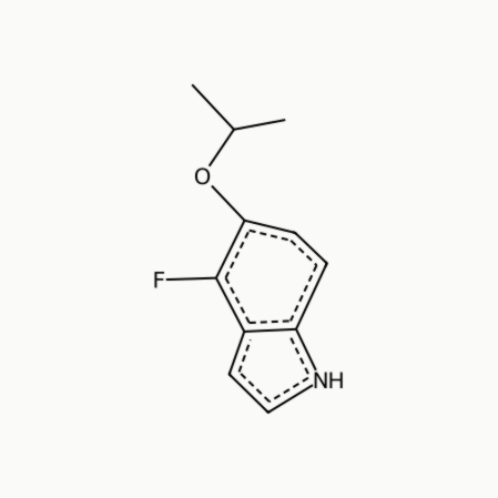 CC(C)Oc1ccc2[nH]ccc2c1F